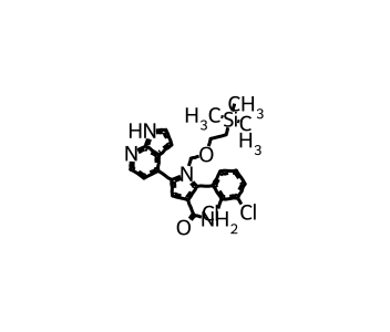 C[Si](C)(C)CCOCn1c(-c2ccnc3[nH]ccc23)cc(C(N)=O)c1-c1cccc(Cl)c1Cl